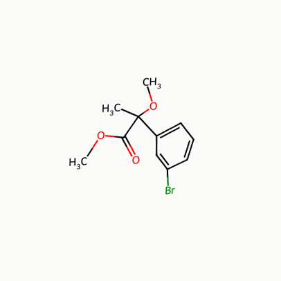 COC(=O)C(C)(OC)c1cccc(Br)c1